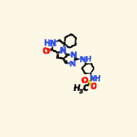 CS(=O)(=O)NC1CCC(Nc2ncc3cc4n(c3n2)C2(CCCCC2)CNC4=O)CC1